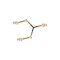 SSC(S)SS